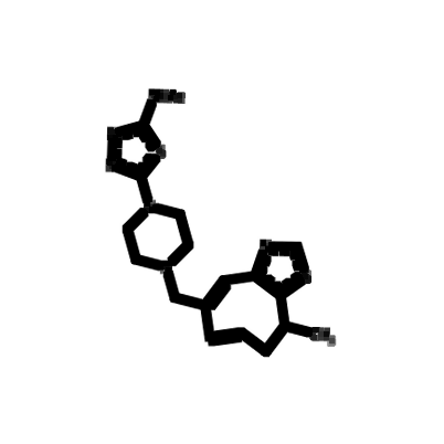 CC(=O)Nc1nnc(N2CCN(CC3=C/c4ncsc4C(C)C\C=C\3)CC2)s1